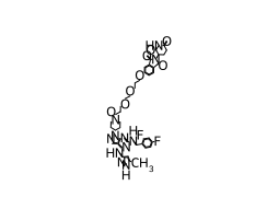 Cc1cc(Nc2nc(NCc3ccc(F)cc3F)nc3c2cnn3C2CCN(C(=O)CCOCCOCCCOc3ccc4c(c3)C(=O)N(C3CCC(=O)NC3=O)C4=O)CC2)n[nH]1